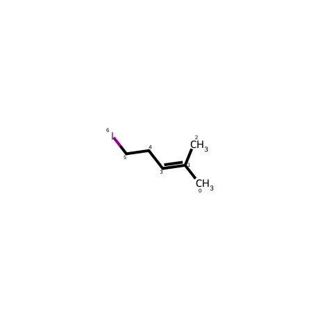 CC(C)=CCCI